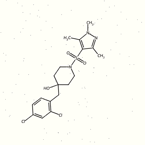 Cc1nn(C)c(C)c1S(=O)(=O)N1CCC(O)(Cc2ccc(Cl)cc2Cl)CC1